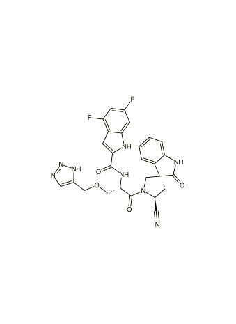 N#C[C@@H]1C[C@@]2(CN1C(=O)[C@H](COCc1cnn[nH]1)NC(=O)c1cc3c(F)cc(F)cc3[nH]1)C(=O)Nc1ccccc12